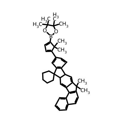 CC1(C)C(B2OC(C)(C)C(C)(C)O2)=CC=C1c1ccc2c(c1)C1(CCCCC1)C1C=C3C(=CC21)C(C)(C)c1ccc2ccccc2c13